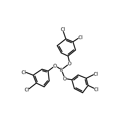 Clc1ccc(OB(Oc2ccc(Cl)c(Cl)c2)Oc2ccc(Cl)c(Cl)c2)cc1Cl